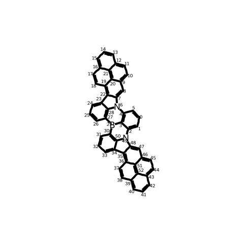 c1cc2c3c(c1)-n1c4cc5ccc6cccc7ccc(c5c67)c4c4cccc(c41)B3c1cccc3c4c5ccc6cccc7ccc(cc4n-2c13)c5c76